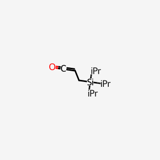 CC(C)[Si](CC=C=O)(C(C)C)C(C)C